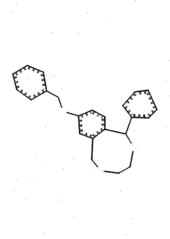 c1ccc(COc2ccc3c(c2)CNCCNC3c2ccccc2)cc1